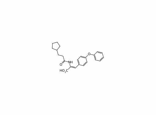 O=C(CCC1CCCC1)NC(=Cc1ccc(Oc2ccccc2)cc1)C(=O)O